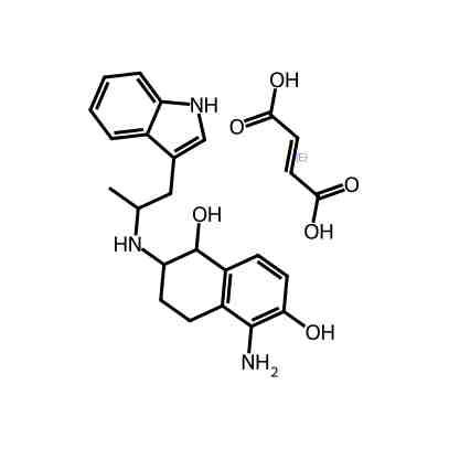 CC(Cc1c[nH]c2ccccc12)NC1CCc2c(ccc(O)c2N)C1O.O=C(O)/C=C/C(=O)O